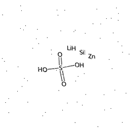 O=S(=O)(O)O.[LiH].[Si].[Zn]